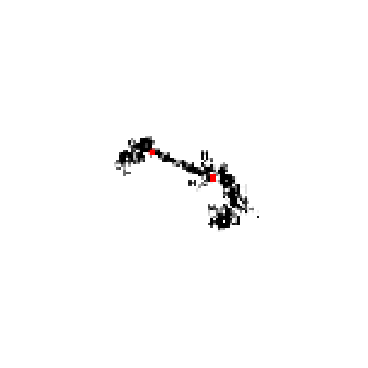 C[C@@H]1CN(C(=O)c2ccc(NC(=O)c3cc(O[C@H](C)c4c(Cl)ccc(F)c4Cl)c(N)nn3)cc2)C[C@H](C)N1CCCOCCOCCOCCSc1cccc2c1C(=O)N(C1CCC(=O)NC1=O)C2=O